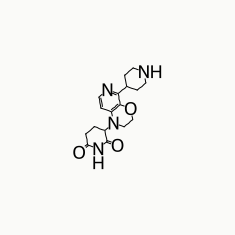 O=C1CCC(N2CCOc3c2ccnc3C2CCNCC2)C(=O)N1